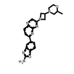 CC1CN(C2CN(c3cnc4ccc(-c5ccc6oc(N)nc6c5)nc4n3)C2)CCO1